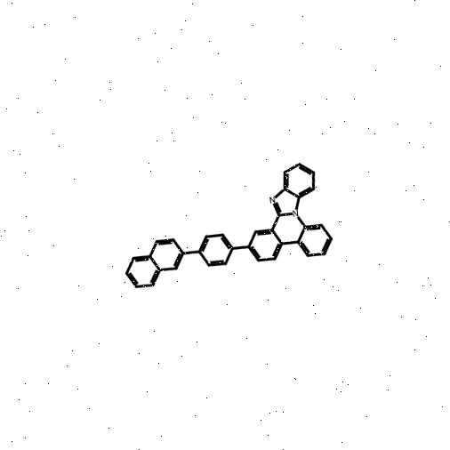 c1ccc2cc(-c3ccc(-c4ccc5c6ccccc6n6c7ccccc7nc6c5c4)cc3)ccc2c1